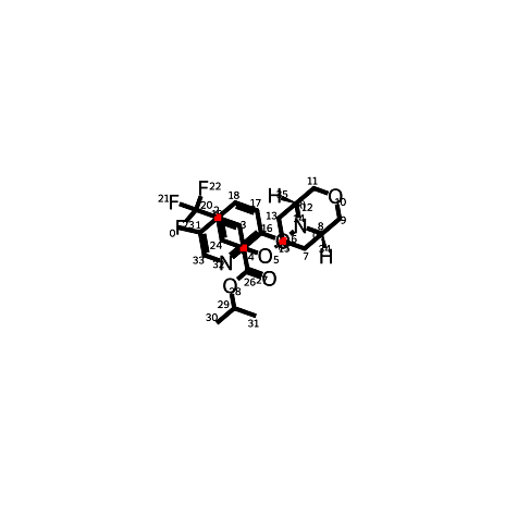 Cc1ccc(O[C@H]2C[C@H]3COC[C@@H](C2)N3Oc2ccc(C(F)(F)F)cc2C(=O)OC(C)C)nc1